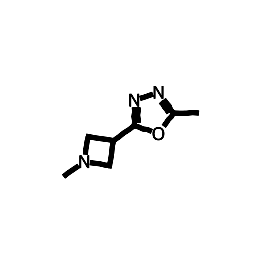 Cc1nnc(C2CN(C)C2)o1